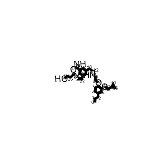 C=CCc1ccc(OCCN[C@H](C)Cc2cc(C(N)=O)c3c(ccn3CCCO)c2)c(OCC2CC2)c1